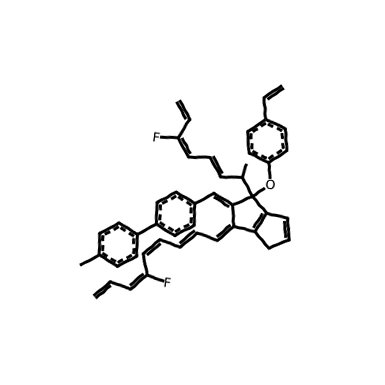 C=C\C=C(F)/C=C\C=C\C=C1\C2=C(C=CC2)C(Oc2ccc(C=C)cc2)(C(C)/C=C/C=C(/F)C=C)\C1=C\c1ccc(-c2ccc(C)cc2)cc1